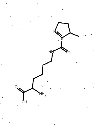 CC1CCN=C1C(=O)NCCCCC(N)C(=O)O